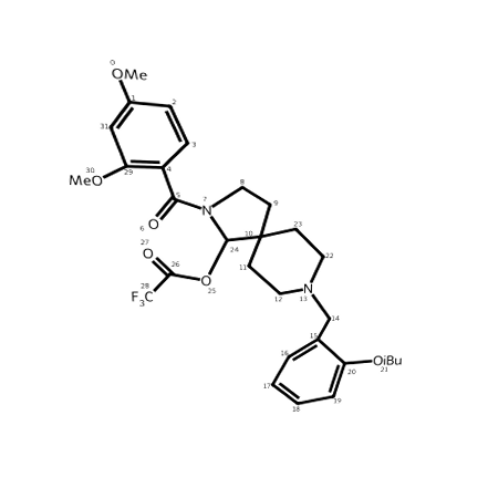 COc1ccc(C(=O)N2CCC3(CCN(Cc4ccccc4OCC(C)C)CC3)C2OC(=O)C(F)(F)F)c(OC)c1